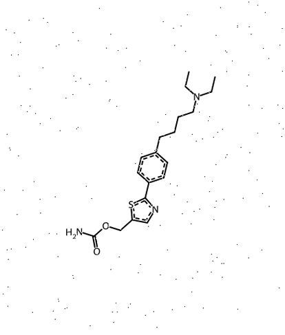 CCN(CC)CCCCc1ccc(-c2ncc(COC(N)=O)s2)cc1